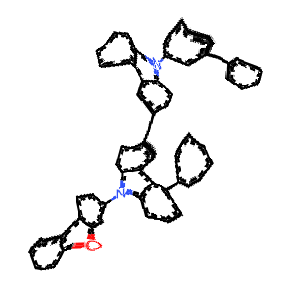 c1ccc(-c2cccc(-n3c4ccccc4c4cc(-c5ccc6c(c5)c5c(-c7ccccc7)cccc5n6-c5ccc6c(c5)oc5ccccc56)ccc43)c2)cc1